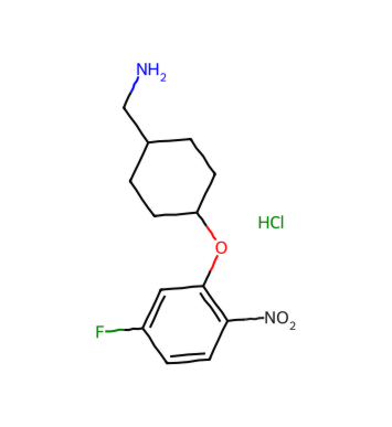 Cl.NCC1CCC(Oc2cc(F)ccc2[N+](=O)[O-])CC1